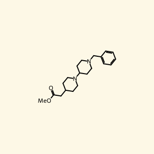 COC(=O)CC1CCN(C2CCN(Cc3ccccc3)CC2)CC1